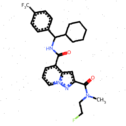 CN(CCF)C(=O)c1cc2c(C(=O)NC(c3ccc(C(F)(F)F)cc3)C3CCCCC3)cccn2n1